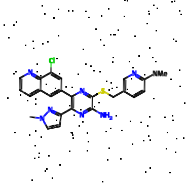 CNc1ccc(CSc2nc(-c3cc(Cl)c4ncccc4c3)c(-c3ccn(C)n3)nc2N)cn1